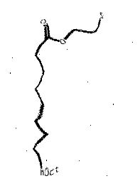 CCCCCCCCCCCCCCCC(=O)OCC[S]